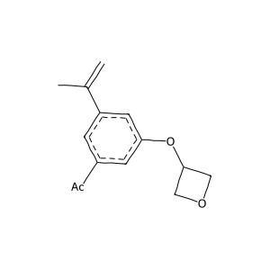 C=C(C)c1cc(OC2COC2)cc(C(C)=O)c1